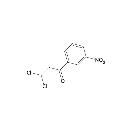 O=C(CC(Cl)Cl)c1cccc([N+](=O)[O-])c1